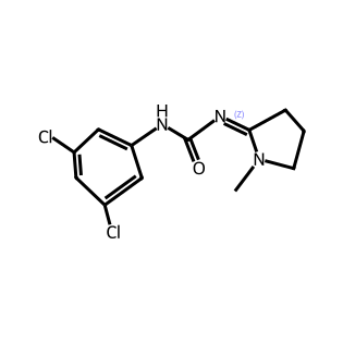 CN1CCC/C1=N/C(=O)Nc1cc(Cl)cc(Cl)c1